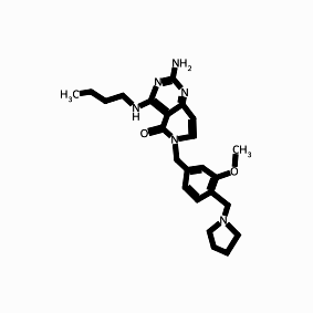 CCCCNc1nc(N)nc2ccn(Cc3ccc(CN4CCCC4)c(OC)c3)c(=O)c12